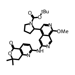 COc1ncc(C2CCCN2C(=O)OC(C)(C)C)c2cc(Nc3ccc4c(n3)CC(C)(C)OC4=O)ncc12